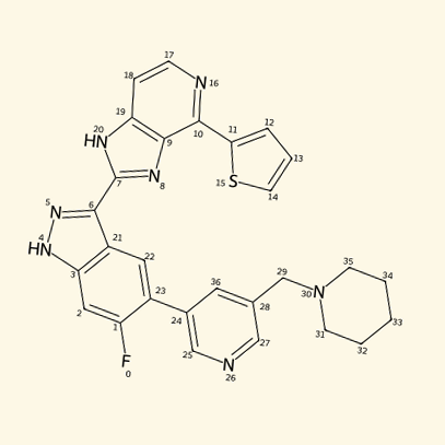 Fc1cc2[nH]nc(-c3nc4c(-c5cccs5)nccc4[nH]3)c2cc1-c1cncc(CN2CCCCC2)c1